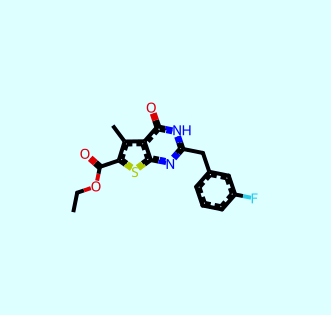 CCOC(=O)c1sc2nc(Cc3cccc(F)c3)[nH]c(=O)c2c1C